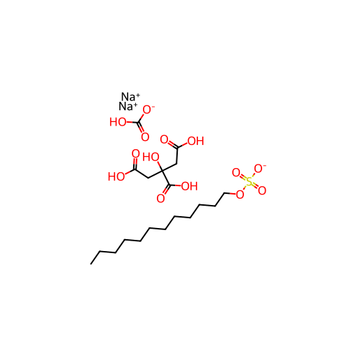 CCCCCCCCCCCCOS(=O)(=O)[O-].O=C(O)CC(O)(CC(=O)O)C(=O)O.O=C([O-])O.[Na+].[Na+]